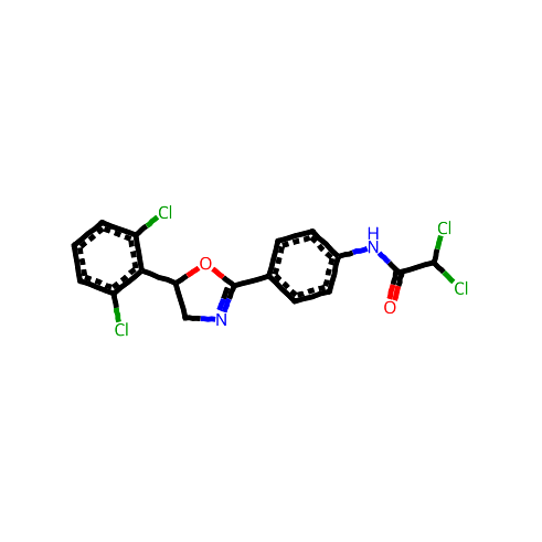 O=C(Nc1ccc(C2=NCC(c3c(Cl)cccc3Cl)O2)cc1)C(Cl)Cl